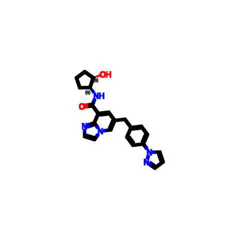 O=C(N[C@H]1CCC[C@@H]1O)c1cc(Cc2ccc(-n3cccn3)cc2)cn2ccnc12